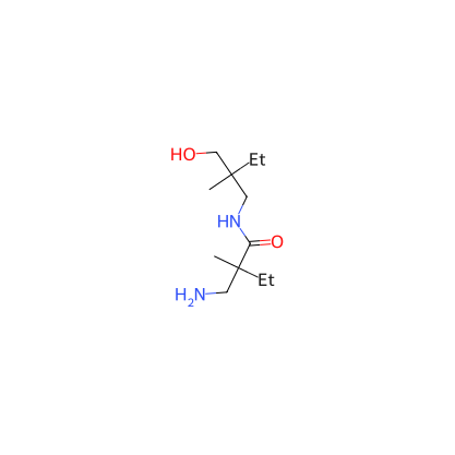 CCC(C)(CO)CNC(=O)C(C)(CC)CN